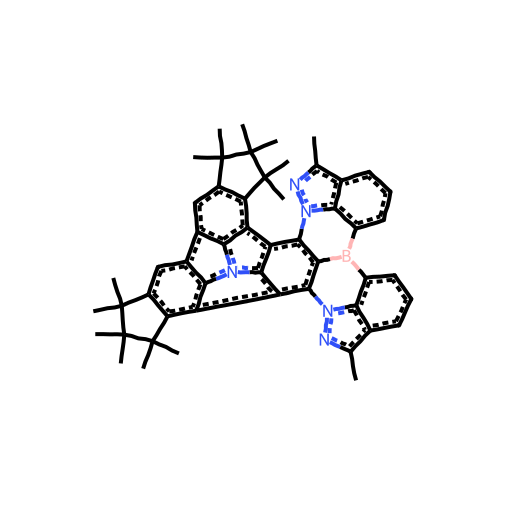 Cc1nn2c3c(cccc13)B1c3c-2c2c4c5c(cc6c7cc8c(c9c(c3-n3nc(C)c%10cccc1c%103)c2n(c64)c79)C(C)(C)C(C)(C)C8(C)C)C(C)(C)C(C)(C)C5(C)C